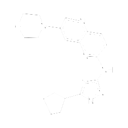 c1nc2ccc(Nc3nnc(C4CCCC4)s3)nc2cc1N1CCOCC1